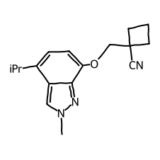 CC(C)c1ccc(OCC2(C#N)CCC2)c2nn(C)cc12